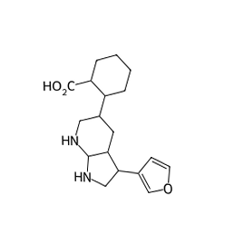 O=C(O)C1CCCCC1C1CNC2NCC(c3ccoc3)C2C1